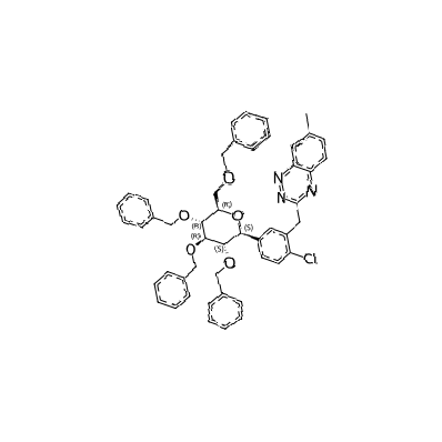 Cc1ccc2nc(Cc3cc([C@@H]4O[C@H](COCc5ccccc5)[C@@H](OCc5ccccc5)[C@H](OCc5ccccc5)[C@H]4OCc4ccccc4)ccc3Cl)nnc2c1